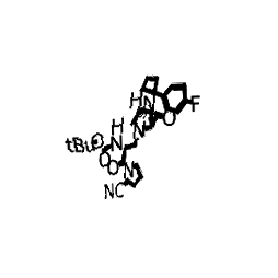 CC(C)(C)OC(=O)NC(CN1C[C@@H]2CC1C(=O)N2C1(c2ccc(F)cc2)CCC1)C(=O)N1CCCC1C#N